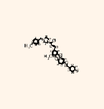 Cc1ccc(CN2CCN(C(=O)/C=C/c3cc(C)c(Oc4ccc(OCc5ccc(F)cc5)cn4)c(Cl)c3)CC2)cc1